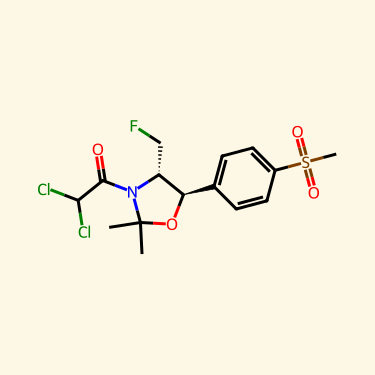 CC1(C)O[C@H](c2ccc(S(C)(=O)=O)cc2)[C@@H](CF)N1C(=O)C(Cl)Cl